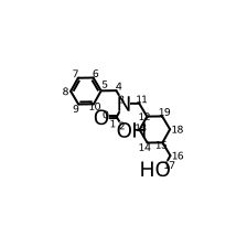 O=C(O)N(Cc1ccccc1)CC1CCC(CO)CC1